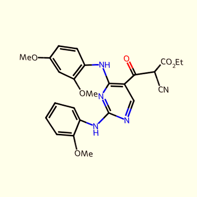 CCOC(=O)C(C#N)C(=O)c1cnc(Nc2ccccc2OC)nc1Nc1ccc(OC)cc1OC